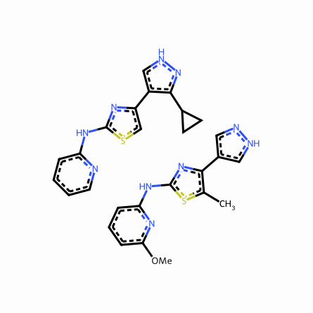 COc1cccc(Nc2nc(-c3cn[nH]c3)c(C)s2)n1.c1ccc(Nc2nc(-c3c[nH]nc3C3CC3)cs2)nc1